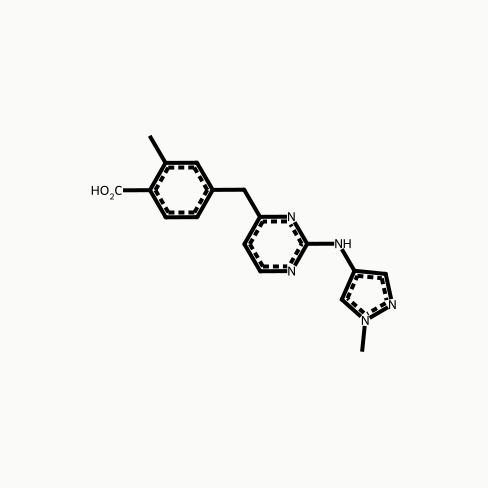 Cc1cc(Cc2ccnc(Nc3cnn(C)c3)n2)ccc1C(=O)O